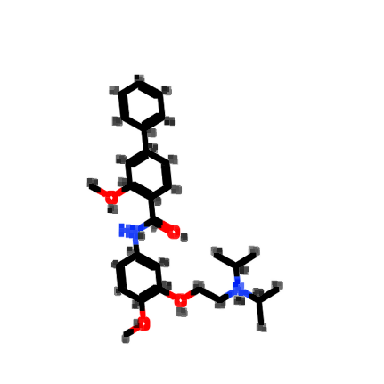 COc1ccc(NC(=O)c2ccc(-c3ccccc3)cc2OC)cc1OCCN(C(C)C)C(C)C